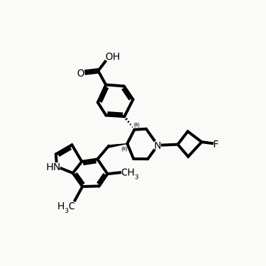 Cc1cc(C)c2[nH]ccc2c1C[C@@H]1CCN(C2CC(F)C2)C[C@H]1c1ccc(C(=O)O)cc1